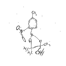 Cc1ccc(B2OC(C)(C)C(C)(C)O2)c([N+](=O)[O-])c1